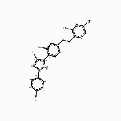 Oc1cc(CCc2ncc(C(F)(F)F)cc2F)ccc1-c1[nH]c(-c2ccc(F)nc2)nc1Cl